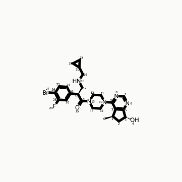 C[C@@H]1C[C@@H](O)c2ncnc(N3CCN(C(=O)[C@H](CNCC4CC4)c4ccc(Br)c(F)c4)CC3)c21